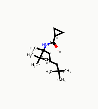 CC(C)(C)CCCC(C)(NC(=O)C1CC1)C(C)(C)C